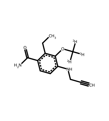 [2H]C([2H])([2H])Oc1c(NCC#C)ccc(C(N)=O)c1CC